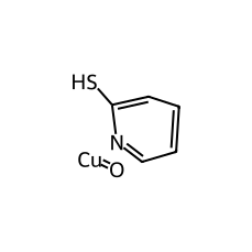 Sc1ccccn1.[O]=[Cu]